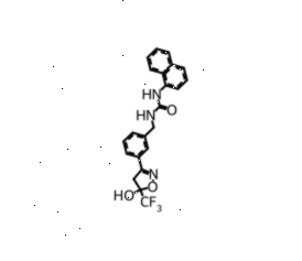 O=C(NCc1cccc(C2=NOC(O)(C(F)(F)F)C2)c1)Nc1cccc2ccccc12